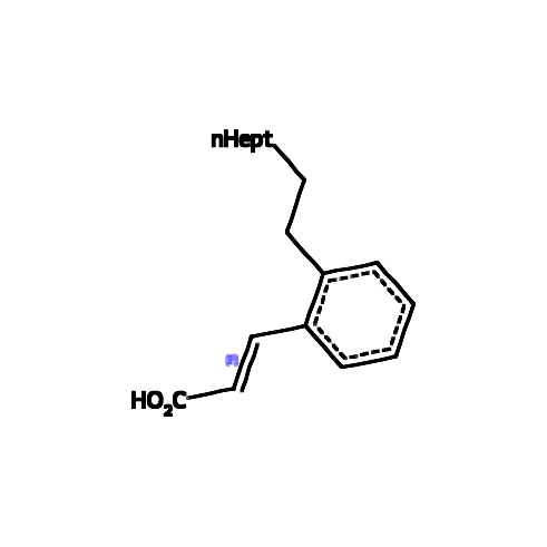 CCCCCCCCCc1ccccc1/C=C/C(=O)O